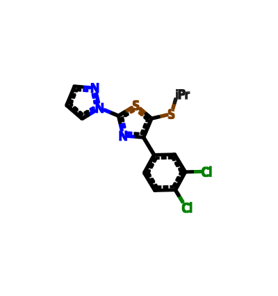 CC(C)Sc1sc(-n2cccn2)nc1-c1ccc(Cl)c(Cl)c1